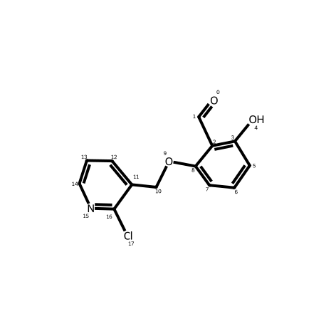 O=Cc1c(O)cccc1OCc1cccnc1Cl